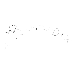 CC(C)(C)OC(=O)c1ccc(C2CCN(CC(=O)NCCNc3cccc4c3C(=O)N(C3CCC(=O)NC3=O)C4=O)CC2)cc1